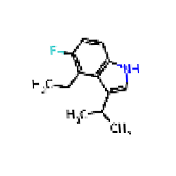 CCc1c(F)ccc2[nH]cc(C(C)C)c12